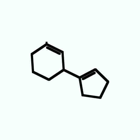 [C]1=CC(C2=CCCC2)CCC1